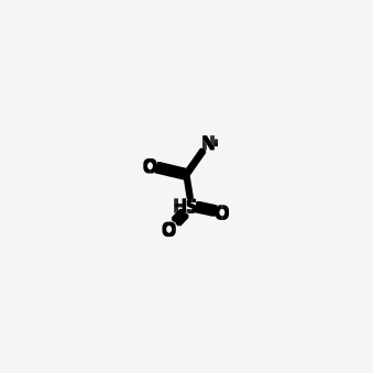 [N]C(=O)[SH](=O)=O